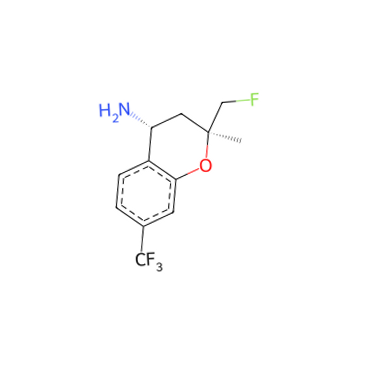 C[C@@]1(CF)C[C@@H](N)c2ccc(C(F)(F)F)cc2O1